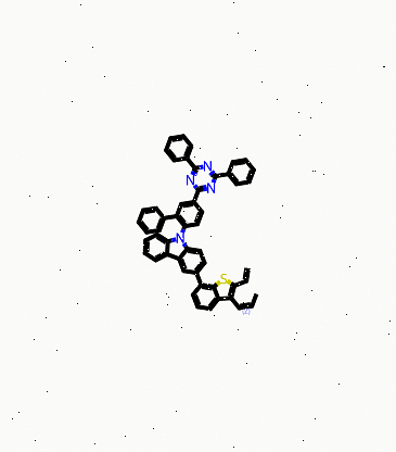 C=Cc1sc2c(-c3ccc4c(c3)c3ccccc3n4-c3ccc(-c4nc(-c5ccccc5)nc(-c5ccccc5)n4)cc3-c3ccccc3)cccc2c1/C=C\C